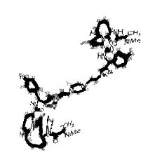 CN[C@@H](C)C(=O)N[C@H]1CCCC[C@H]2CC[C@@H](C(=O)N[C@@H](c3ccc(F)cc3)c3cn(CCN4CCN(CCn5cc([C@@H](NC(=O)[C@@H]6CC[C@@H]7CCCC[C@H](NC(=O)[C@H](C)NC)C(=O)N76)c6ccc(F)cc6)nn5)CC4)nn3)N2C1=O